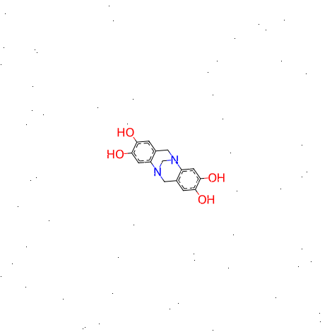 Oc1cc2c(cc1O)N1Cc3cc(O)c(O)cc3N(C2)C1